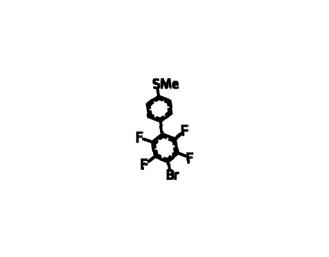 CSc1ccc(-c2c(F)c(F)c(Br)c(F)c2F)cc1